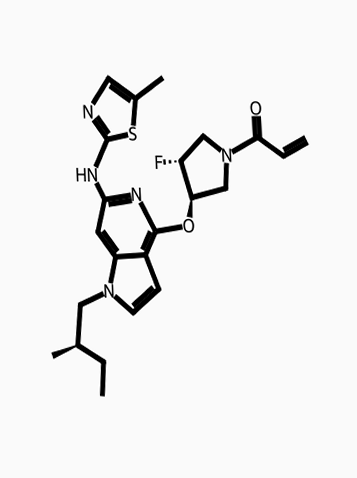 C=CC(=O)N1C[C@@H](F)[C@H](Oc2nc(Nc3ncc(C)s3)cc3c2ccn3C[C@H](C)CC)C1